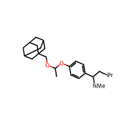 CNC(CC(C)C)c1ccc(OC(C)OCC23CC4CC(CC(C4)C2)C3)cc1